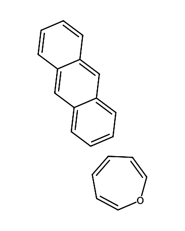 C1=CC=COC=C1.c1ccc2cc3ccccc3cc2c1